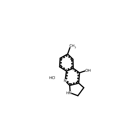 Cc1ccc2nc3c(c(O)c2c1)CCN3.Cl